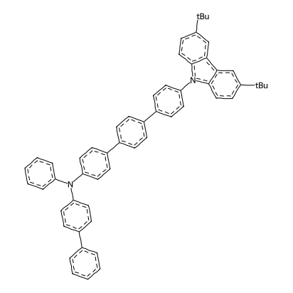 CC(C)(C)c1ccc2c(c1)c1cc(C(C)(C)C)ccc1n2-c1ccc(-c2ccc(-c3ccc(N(c4ccccc4)c4ccc(-c5ccccc5)cc4)cc3)cc2)cc1